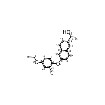 CCOc1ccc(Oc2ccc3cc(C(C)O)ccc3c2)c(Cl)c1